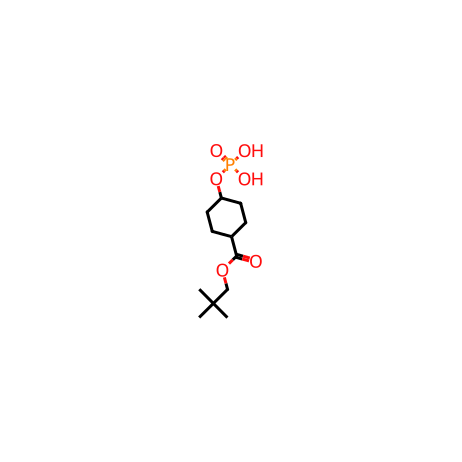 CC(C)(C)COC(=O)C1CCC(OP(=O)(O)O)CC1